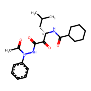 CC(=O)N(NC(=O)C(=O)[C@H](CC(C)C)NC(=O)C1CCCCC1)c1ccccc1